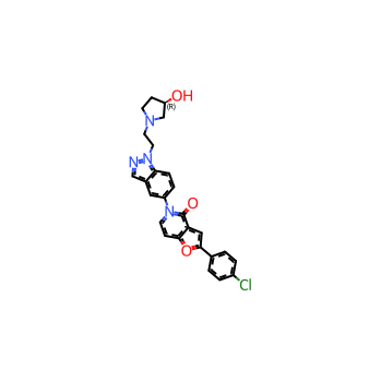 O=c1c2cc(-c3ccc(Cl)cc3)oc2ccn1-c1ccc2c(cnn2CCN2CC[C@@H](O)C2)c1